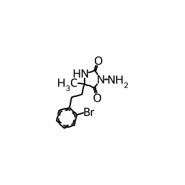 CC1(CCc2ccccc2Br)NC(=O)N(N)C1=O